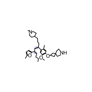 CCC/C=C(/C=C(/CCCC1CCN(C)CC1)c1cc(OC)c(OC2CC3(CCNCC3)C2)cc1C)c1ccc(C)o1